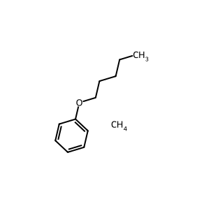 C.CCCCCOc1ccccc1